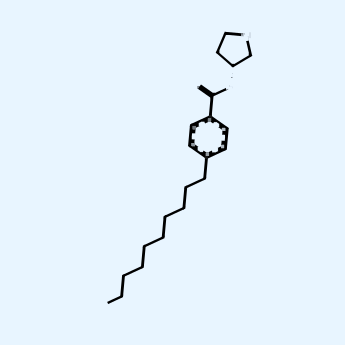 CCCCCCCCCCc1ccc(C(=S)N[C@@H]2CCNC2)cc1